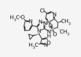 COc1cccc(-c2nnc(NS(=O)(=O)[C@@H](C)[C@H](C)c3ncc(Cl)cn3)n2[C@@H](c2conc2C)C2CC2)n1